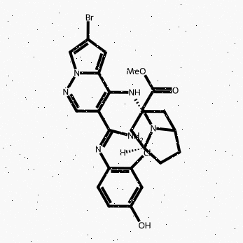 COC(=O)CN1C2CC[C@H]1C[C@H](Nc1c(/C(N)=N/c3ccc(O)cc3Cl)cnn3cc(Br)cc13)C2